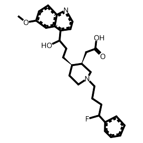 COc1ccc2nccc(C(O)CC[C@@H]3CCN(CCCC(F)c4ccccc4)C[C@@H]3CC(=O)O)c2c1